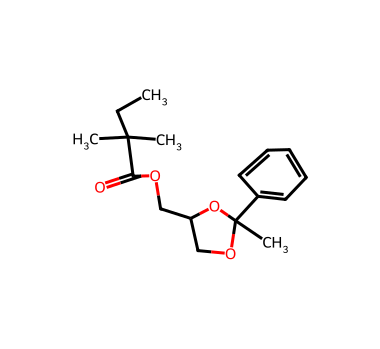 CCC(C)(C)C(=O)OCC1COC(C)(c2ccccc2)O1